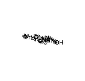 Cc1c(OCCCN2CCCC2)cccc1-c1cccc2c1CCN2C(=O)c1ncc(CNCCO)s1